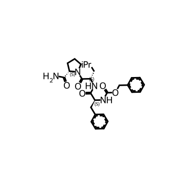 CC(C)C[C@H](NC(=O)[C@H](Cc1ccccc1)NC(=O)OCc1ccccc1)C(=O)N1CCC[C@H]1C(N)=O